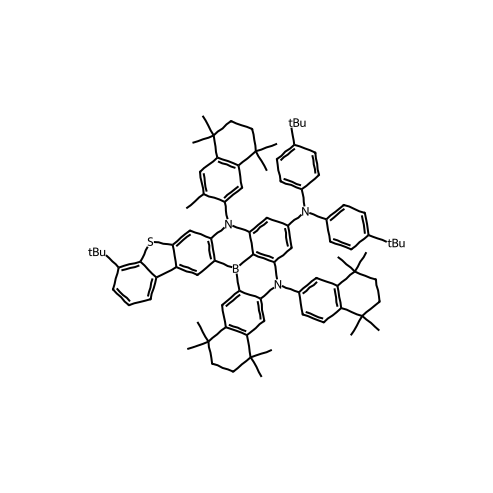 Cc1cc2c(cc1N1c3cc4sc5c(C(C)(C)C)cccc5c4cc3B3c4cc5c(cc4N(c4ccc6c(c4)C(C)(C)CCC6(C)C)c4cc(N(c6ccc(C(C)(C)C)cc6)c6ccc(C(C)(C)C)cc6)cc1c43)C(C)(C)CCC5(C)C)C(C)(C)CCC2(C)C